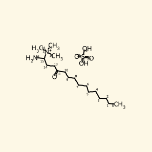 CCCCCCCCCCCC(=O)CCC(N)[N+](C)(C)C.O=S(=O)(O)O